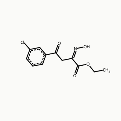 CCOC(=O)C(CC(=O)c1cccc(Cl)c1)=NO